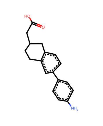 Nc1ccc(-c2ccc3c(c2)CCC(CC(=O)O)C3)cc1